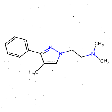 Cc1cn(CCN(C)C)nc1-c1ccccc1